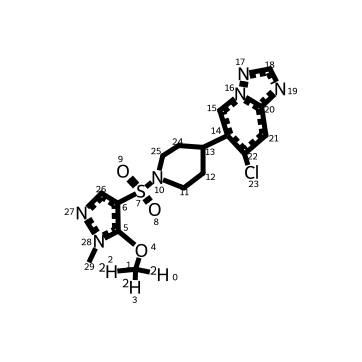 [2H]C([2H])([2H])Oc1c(S(=O)(=O)N2CCC(c3cn4ncnc4cc3Cl)CC2)cnn1C